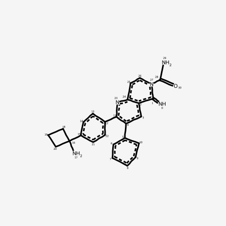 N=c1c2cc(-c3ccccc3)c(-c3ccc(C4(N)CCC4)cc3)nc2ccn1C(N)=O